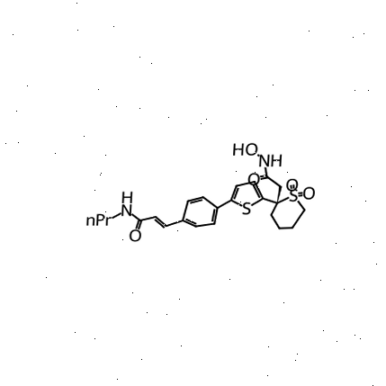 CCCNC(=O)C=Cc1ccc(-c2ccc([C@@]3(CC(=O)NO)CCCCS3(=O)=O)s2)cc1